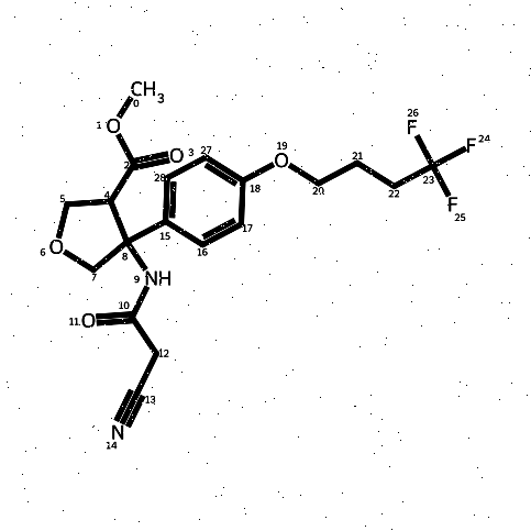 COC(=O)C1COCC1(NC(=O)CC#N)c1ccc(OCCCC(F)(F)F)cc1